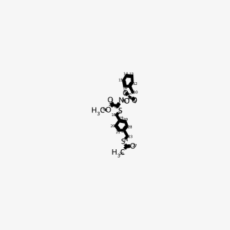 COC(=O)/C(=N/OS(=O)(=O)Cc1ccccc1)SCc1ccc(CSC(C)=O)cc1